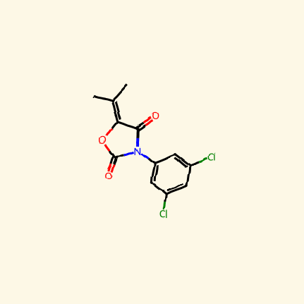 CC(C)=C1OC(=O)N(c2cc(Cl)cc(Cl)c2)C1=O